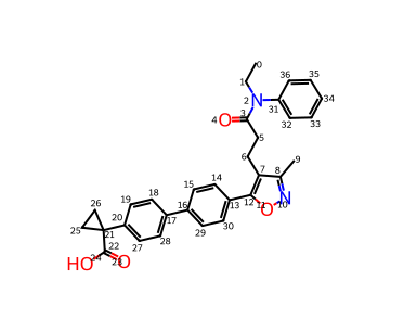 CCN(C(=O)CCc1c(C)noc1-c1ccc(-c2ccc(C3(C(=O)O)CC3)cc2)cc1)c1ccccc1